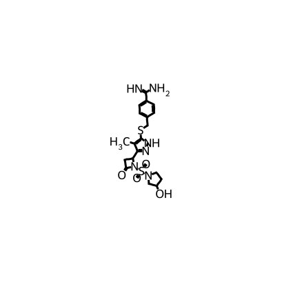 Cc1c(C2CC(=O)N2S(=O)(=O)N2CCC(O)C2)n[nH]c1SCc1ccc(C(=N)N)cc1